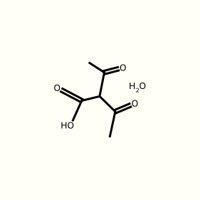 CC(=O)C(C(C)=O)C(=O)O.O